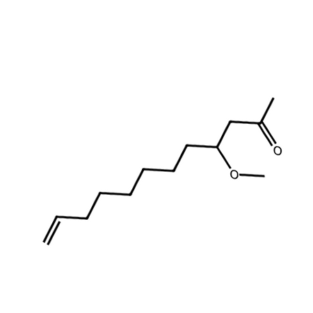 C=CCCCCCCC(CC(C)=O)OC